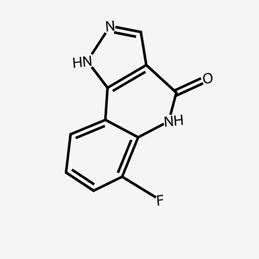 O=c1[nH]c2c(F)cccc2c2[nH]ncc12